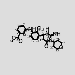 COC(=O)c1cccc(Nc2cccc([C@]3(C)CC(=O)N(C4CCOCC4)C(=N)N3)c2Cl)c1